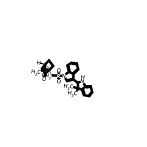 CC1(C)c2ccccc2NC1c1cn(S(=O)(=O)C[C@]23CC[C@@H](CC2=O)C3(C)C)c2ccccc12